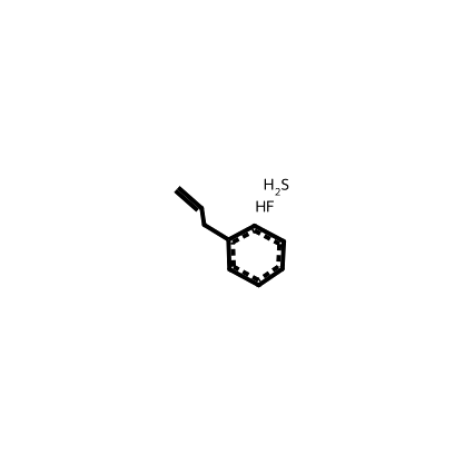 C=CCc1ccccc1.F.S